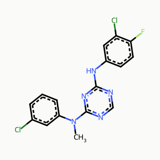 CN(c1cccc(Cl)c1)c1ncnc(Nc2ccc(F)c(Cl)c2)n1